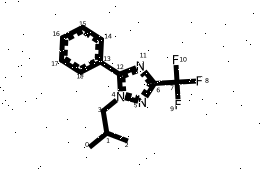 CC(C)Cn1nc(C(F)(F)F)nc1-c1ccccc1